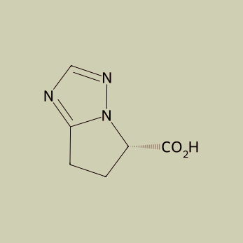 O=C(O)[C@@H]1CCc2ncnn21